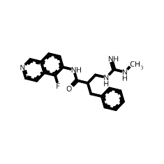 CNC(=N)NCC(Cc1ccccc1)C(=O)Nc1ccc2cnccc2c1F